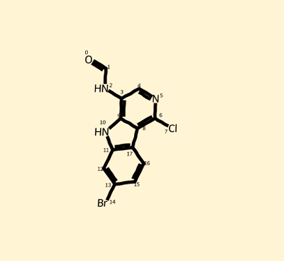 O=CNc1cnc(Cl)c2c1[nH]c1cc(Br)ccc12